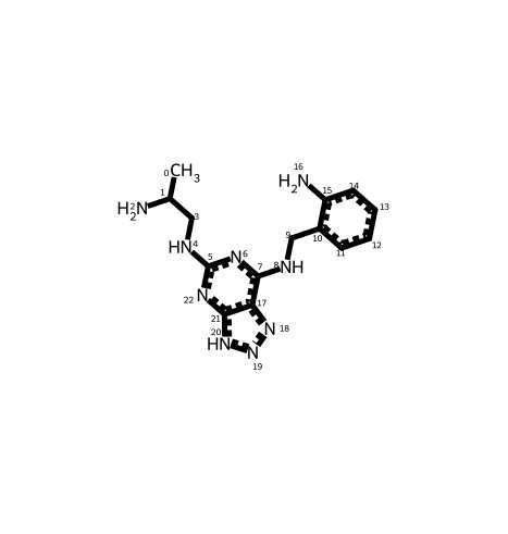 CC(N)CNc1nc(NCc2ccccc2N)c2nn[nH]c2n1